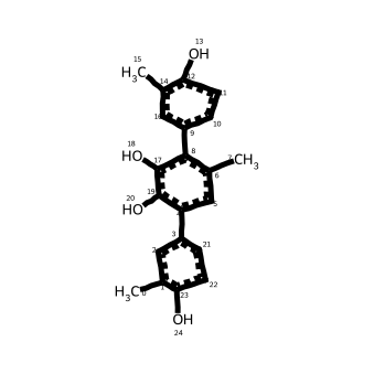 Cc1cc(-c2cc(C)c(-c3ccc(O)c(C)c3)c(O)c2O)ccc1O